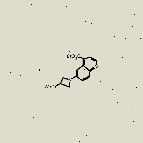 CCOC(=O)c1ccnc2ccc(N3CC(OC)C3)cc12